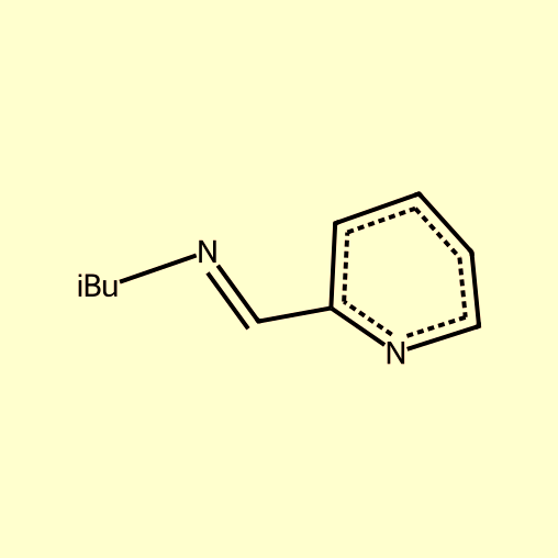 CCC(C)/N=C/c1ccccn1